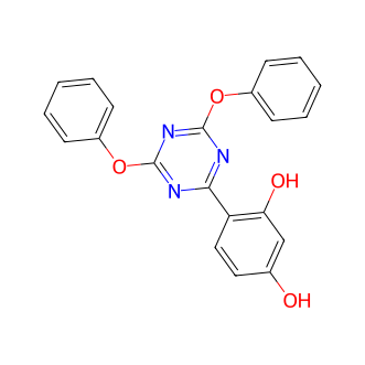 Oc1ccc(-c2nc(Oc3ccccc3)nc(Oc3ccccc3)n2)c(O)c1